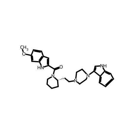 COc1ccc2cc(C(=O)N3CCCC[C@H]3CCN3CCN(c4c[nH]c5ccccc45)CC3)[nH]c2c1